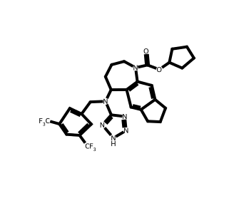 O=C(OC1CCCC1)N1CCCC(N(Cc2cc(C(F)(F)F)cc(C(F)(F)F)c2)c2nn[nH]n2)c2cc3c(cc21)CCC3